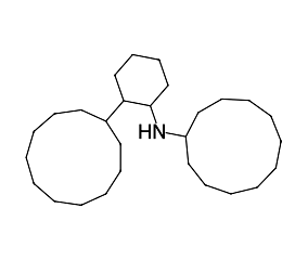 C1CCCCCC(NC2CCCCC2C2CCCCCCCCCC2)CCCC1